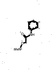 CNOCC(=O)Nc1ccccc1